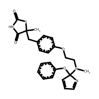 CN(CCOc1ccc(CC2(C)SC(=O)NC2=O)cc1)C1(Oc2ccccc2)C=CC=N1